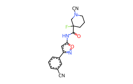 N#Cc1cccc(-c2cc(NC(=O)C3(F)CCCN(C#N)C3)on2)c1